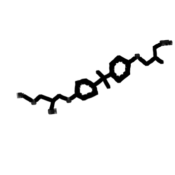 COCC(C)COc1ccc(C(C)(C)c2ccc(OCC(O)COC(C)C)cc2)cc1